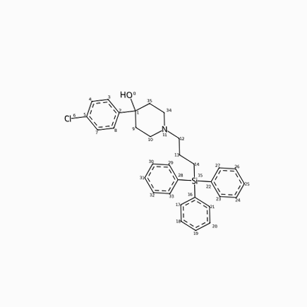 OC1(c2ccc(Cl)cc2)CCN(CCC[Si](c2ccccc2)(c2ccccc2)c2ccccc2)CC1